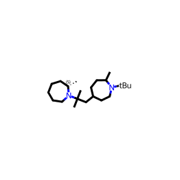 CC1CCC(CC(C)(C)N2CCCCC[C@@H]2C)CCN1C(C)(C)C